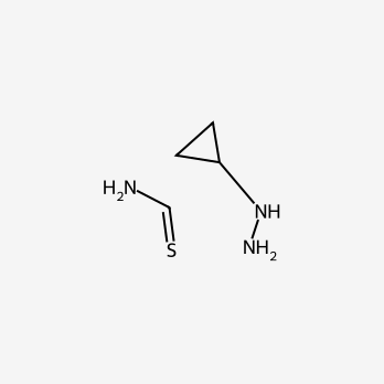 NC=S.NNC1CC1